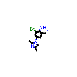 Cc1cn(-c2cc(C)c(N)c(Br)c2)c(C)n1